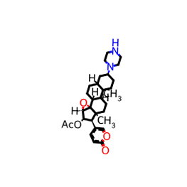 CC(=O)O[C@H]1[C@H]2O[C@]23[C@@H]2CC[C@@H]4C[C@@H](N5CCNCC5)CC[C@]4(C)[C@H]2CC[C@]3(C)[C@H]1c1ccc(=O)oc1